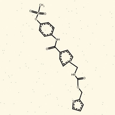 CS(=O)(=O)Oc1ccc(NC(=O)c2ccc(CNC(=O)OCc3cccs3)cc2)cc1